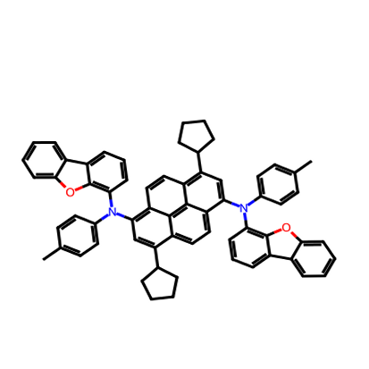 Cc1ccc(N(c2cc(C3CCCC3)c3ccc4c(N(c5ccc(C)cc5)c5cccc6c5oc5ccccc56)cc(C5CCCC5)c5ccc2c3c54)c2cccc3c2oc2ccccc23)cc1